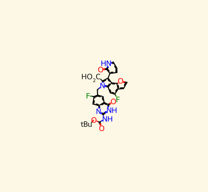 CC(C)(C)OC(=O)Nc1nc2cc(F)c(Cn3c(C(=O)O)c(-c4ccc[nH]c4=O)c4c5occc5c(F)cc43)cc2c(=O)[nH]1